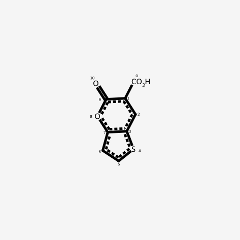 O=C(O)c1cc2sccc2oc1=O